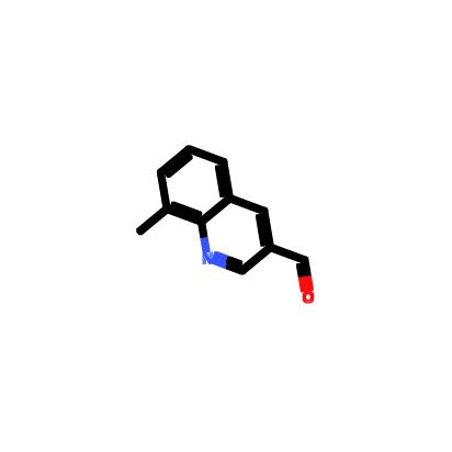 Cc1cccc2cc(C=O)cnc12